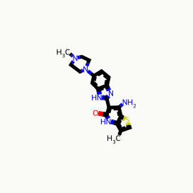 Cc1csc2c(N)c(-c3nc4ccc(N5CCN(C)CC5)cc4[nH]3)c(=O)[nH]c12